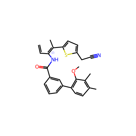 C=C/C(NC(=O)c1cccc(-c2ccc(C)c(C)c2OC)c1)=C(\C)c1ccc(CC#N)s1